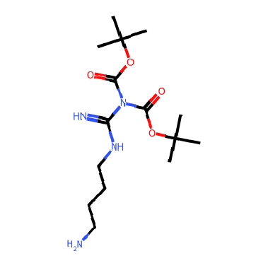 CC(C)(C)OC(=O)N(C(=N)NCCCCN)C(=O)OC(C)(C)C